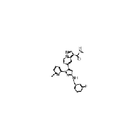 CNC(=O)c1cnn2ccc(-c3cc(NCc4cccc(F)c4)nn3-c3cccc(C)n3)cc12